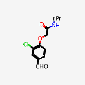 CCCNC(=O)COc1ccc(C=O)cc1Cl